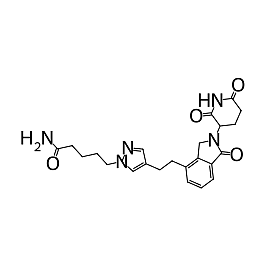 NC(=O)CCCCn1cc(CCc2cccc3c2CN(C2CCC(=O)NC2=O)C3=O)cn1